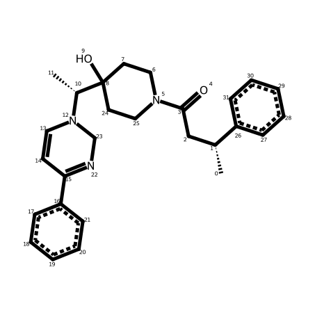 C[C@H](CC(=O)N1CCC(O)([C@@H](C)N2C=CC(c3ccccc3)=NC2)CC1)c1ccccc1